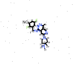 Cc1nnc(N[C@H](C)c2cc(F)cc(C#N)c2F)c2cc(N3CCC(C)(N(C)C)CC3)ncc12